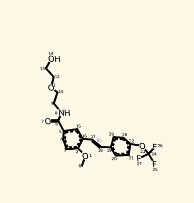 COc1ccc(C(=O)NCCOCCO)cc1/C=C/c1ccc(OC(F)(F)F)cc1